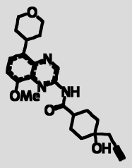 C#CCC1(O)CCC(C(=O)Nc2cnc3c(C4CCOCC4)ccc(OC)c3n2)CC1